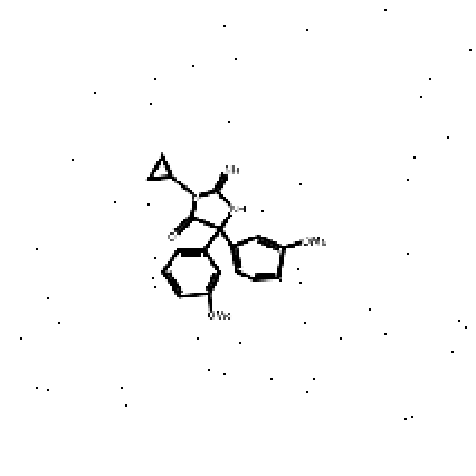 COc1cccc(C2(c3cccc(OC)c3)NC(=N)N(C3CC3)C2=O)c1